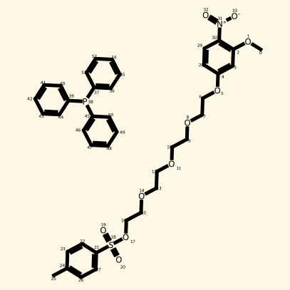 COc1cc(OCCOCCOCCOCCOS(=O)(=O)c2ccc(C)cc2)ccc1[N+](=O)[O-].c1ccc(P(c2ccccc2)c2ccccc2)cc1